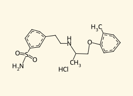 Cc1ccccc1OCC(C)NCCc1cccc(S(N)(=O)=O)c1.Cl